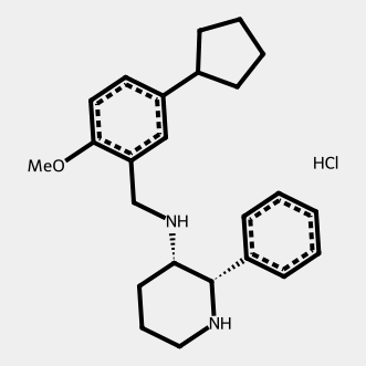 COc1ccc(C2CCCC2)cc1CN[C@H]1CCCN[C@H]1c1ccccc1.Cl